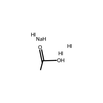 CC(=O)O.I.I.I.[NaH]